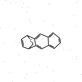 C1=CC2CC[C]1c1cc3ccccc3cc12